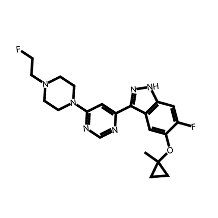 CC1(Oc2cc3c(-c4cc(N5CCN(CCF)CC5)ncn4)n[nH]c3cc2F)CC1